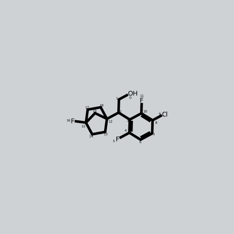 OCC(c1c(F)ccc(Cl)c1F)C12CCC(F)(CC1)C2